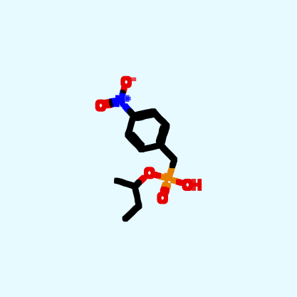 CCC(C)OP(=O)(O)Cc1ccc([N+](=O)[O-])cc1